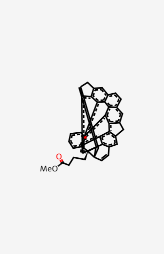 COC(=O)CCC[C@]1(c2ccccc2)C23C=Cc4cc5c6c7c4C21c1c2c4c(cc8ccc9cc(c6c6c9c8c4c6c17)C5)CC2=C3